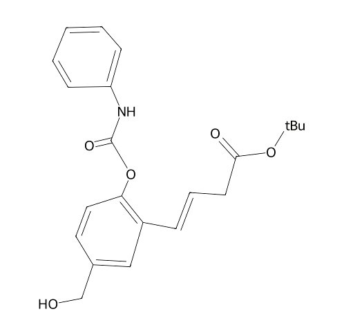 CC(C)(C)OC(=O)C/C=C/c1cc(CO)ccc1OC(=O)Nc1ccccc1